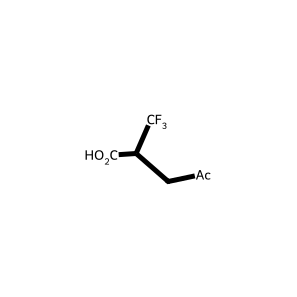 CC(=O)CC(C(=O)O)C(F)(F)F